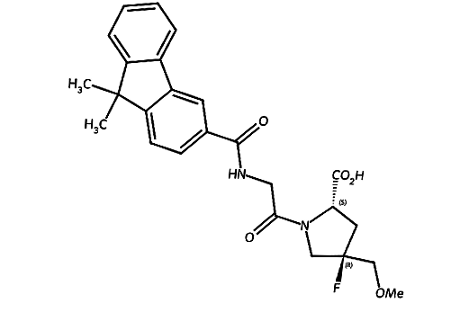 COC[C@@]1(F)C[C@@H](C(=O)O)N(C(=O)CNC(=O)c2ccc3c(c2)-c2ccccc2C3(C)C)C1